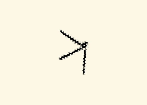 CCCCCCCCCCCCCCCCCSc1cc(CC)cc(SCCCCCCCCCCCCCCCCC)c1SCCCCCCCCCCCCCCCCC